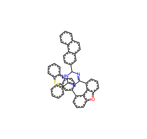 c1ccc(C2=NC(c3cccc4oc5cccc(-c6ccc7c(c6)sc6ccccc67)c5c34)=NC(c3ccc4c(ccc5ccccc54)c3)N2)cc1